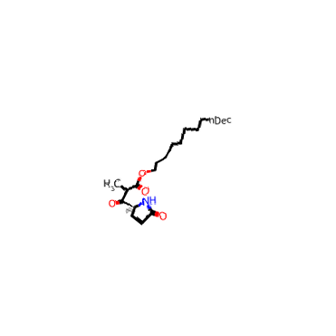 CCCCCCCCCCCCCCCCCCOC(=O)C(C)C(=O)[C@@H]1CCC(=O)N1